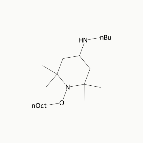 CCCCCCCCON1C(C)(C)CC(NCCCC)CC1(C)C